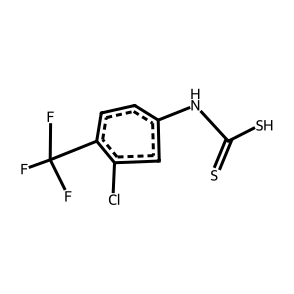 FC(F)(F)c1ccc(NC(=S)S)cc1Cl